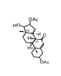 CC(=O)OC1CC[C@@]2(C)C(=CC(=O)[C@@H]3[C@H]2CC[C@]2(C)C(O)C(OC(C)=O)C[C@@H]32)C1